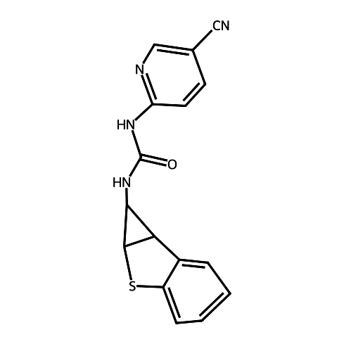 N#Cc1ccc(NC(=O)NC2C3Sc4ccccc4C23)nc1